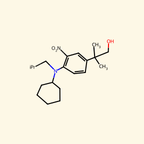 CC(C)CN(c1ccc(C(C)(C)CO)cc1[N+](=O)[O-])C1CCCCC1